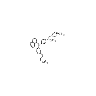 C=C/C=C\C(=C/CC)C[C@H](C)c1ccc(N(c2cccc(/C=C\C=C/C)c2)c2cccc3ccccc23)cc1